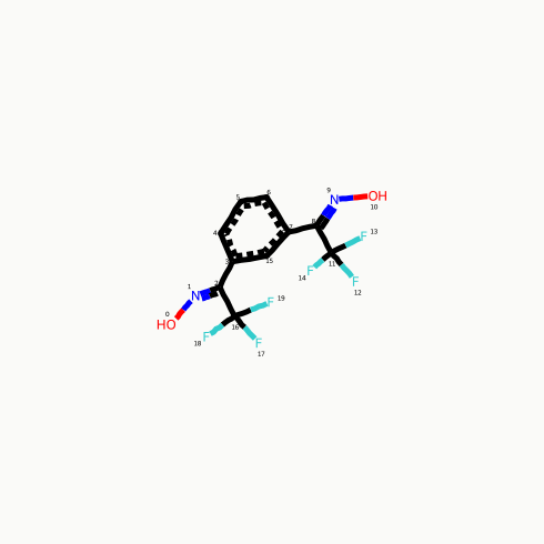 O/N=C(/c1cccc(/C(=N/O)C(F)(F)F)c1)C(F)(F)F